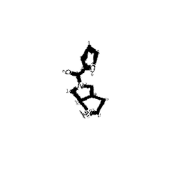 O=C(c1ccco1)N1CC2CCNC2C1